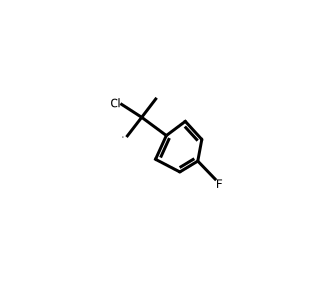 [CH2]C(C)(Cl)c1ccc(F)cc1